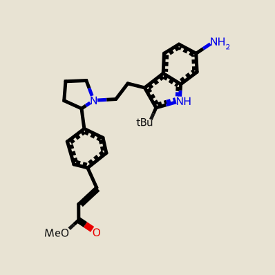 COC(=O)C=Cc1ccc(C2CCCN2CCc2c(C(C)(C)C)[nH]c3cc(N)ccc23)cc1